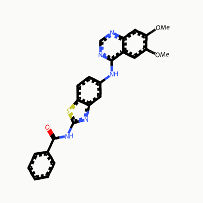 COc1cc2ncnc(Nc3ccc4sc(NC(=O)c5ccccc5)nc4c3)c2cc1OC